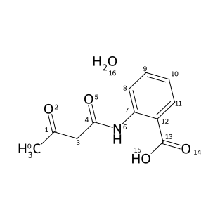 CC(=O)CC(=O)Nc1ccccc1C(=O)O.O